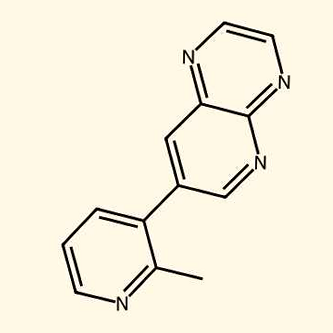 Cc1ncccc1-c1cnc2nccnc2c1